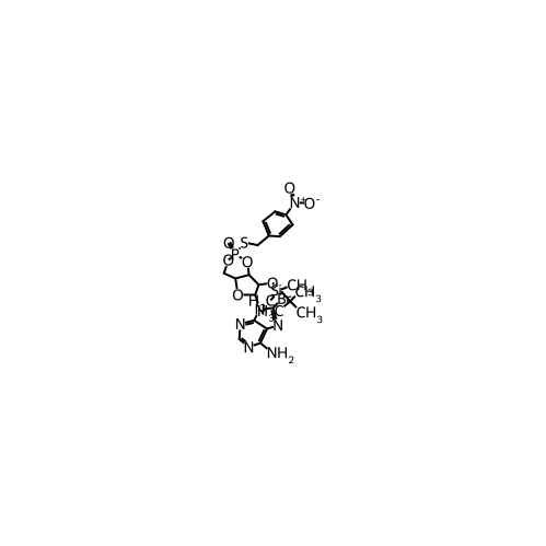 CC(C)(C)[Si](C)(C)OC1C2OP(=O)(SCc3ccc([N+](=O)[O-])cc3)OCC2OC1n1c(Br)nc2c(N)ncnc21